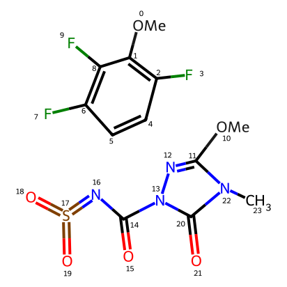 COc1c(F)ccc(F)c1F.COc1nn(C(=O)N=S(=O)=O)c(=O)n1C